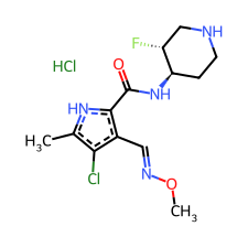 CON=Cc1c(C(=O)N[C@@H]2CCNC[C@H]2F)[nH]c(C)c1Cl.Cl